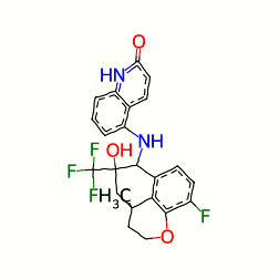 CC12CCOc3c(F)ccc(c31)C(Nc1cccc3[nH]c(=O)ccc13)C(O)(C(F)(F)F)C2